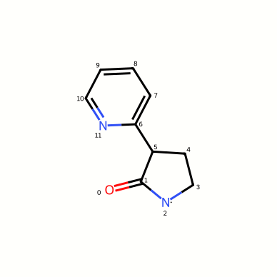 O=C1[N]CCC1c1ccccn1